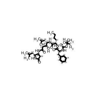 CCCC[C@H](NC(=O)[C@H](Cc1ccccc1)NC(=O)OC(C)(C)C)C(=O)N[C@@H](CC(C)C)[C@@H](O)CC(=O)N[C@@H]1CC(=O)N[C@H]1CC(C)C